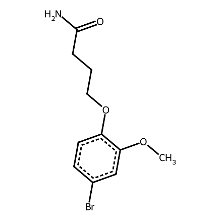 COc1cc(Br)ccc1OCCCC(N)=O